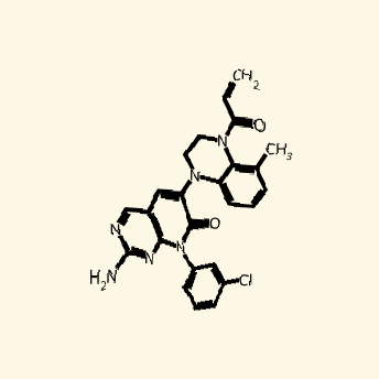 C=CC(=O)N1CCN(c2cc3cnc(N)nc3n(-c3cccc(Cl)c3)c2=O)c2cccc(C)c21